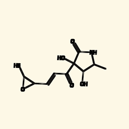 CC1NC(=O)C(O)(C(=O)/C=C/C2OC2S)C1O